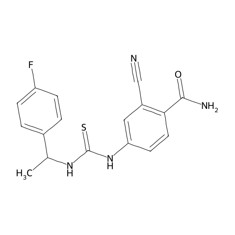 CC(NC(=S)Nc1ccc(C(N)=O)c(C#N)c1)c1ccc(F)cc1